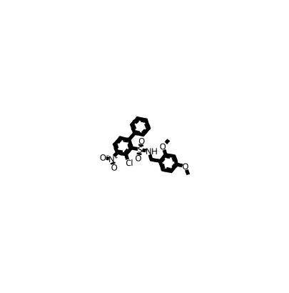 COc1ccc(CNS(=O)(=O)c2c(-c3ccccc3)ccc([N+](=O)[O-])c2Cl)c(OC)c1